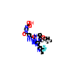 COCC1(CN(C)c2cc(-c3cnc(C4CC4)c(C(F)(F)F)c3)nc3nc(NC(=O)c4ccc(C(=O)N5CCN(CC(=O)O)CC5)cn4)[nH]c23)CCCC1